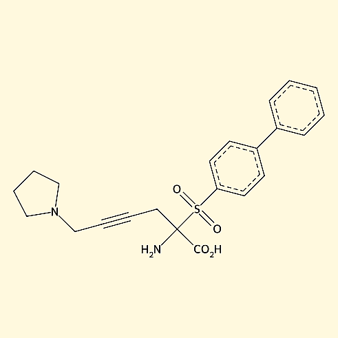 NC(CC#CCN1CCCC1)(C(=O)O)S(=O)(=O)c1ccc(-c2ccccc2)cc1